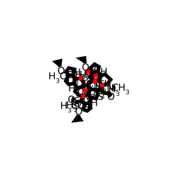 CSC1C(=O)N(C)C2CC[C@@H]3[C@@H](CC[C@]4(C)C(OC5CC5)CC[C@@H]34)[C@@]2(C)C1C12CC[C@@H]3[C@@H](CC[C@]4(C)C(OC5CC5)CC[C@@H]34)[C@@]1(C)C(C13CC[C@@H]4[C@@H](CC[C@]5(C)C(OC6CC6)CC[C@@H]45)[C@@]1(C)CC(S(C)(=O)=O)C(=O)N3C)C([S+](C)[O-])C(=O)N2C